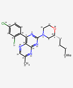 COCCC[C@@H]1CN(c2nc(-c3ccc(Cl)cc3F)c3ncc(C)nc3n2)CCO1